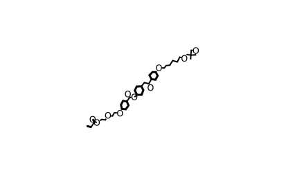 C=CC(=O)OCCOCCOc1ccc(C(=O)Oc2ccc(CC(=O)c3ccc(OCCCCCCOCC4(C)COC4)cc3)cc2)cc1